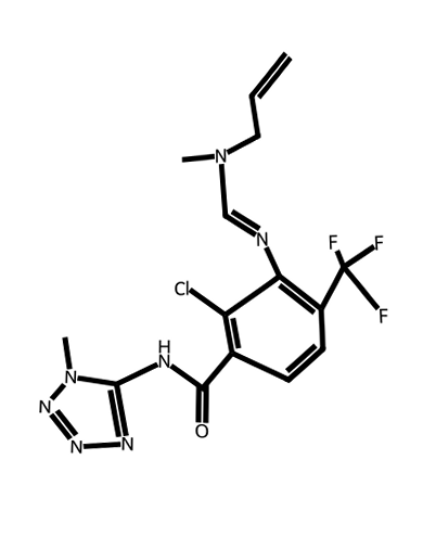 C=CCN(C)/C=N/c1c(C(F)(F)F)ccc(C(=O)Nc2nnnn2C)c1Cl